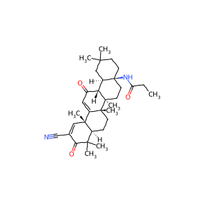 CCC(=O)N[C@]12CCC(C)(C)C[C@@H]1[C@H]1C(=O)C=C3[C@@]4(C)C=C(C#N)C(=O)C(C)(C)[C@@H]4CC[C@@]3(C)[C@]1(C)CC2